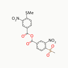 CSc1ccc(C(=O)OC(=O)c2ccc(S(C)(=O)=O)c([N+](=O)[O-])c2)cc1[N+](=O)[O-]